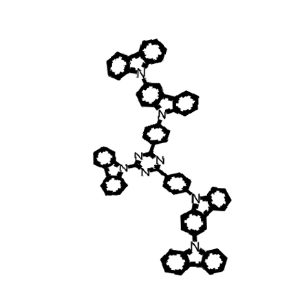 c1ccc2c(c1)c1ccccc1n2-c1ccc2c(c1)c1ccccc1n2-c1ccc(-c2nc(-c3ccc(-n4c5ccccc5c5cc(-n6c7ccccc7c7ccccc76)ccc54)cc3)nc(-n3c4ccccc4c4ccccc43)n2)cc1